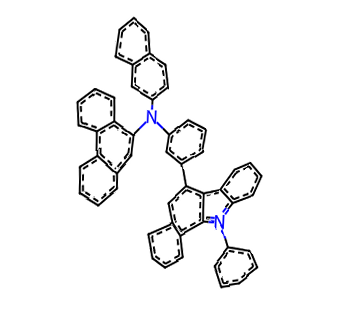 c1ccc(-n2c3ccccc3c3c(-c4cccc(N(c5ccc6ccccc6c5)c5cc6ccccc6c6ccccc56)c4)cc4ccccc4c32)cc1